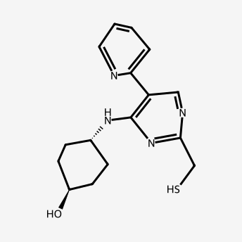 O[C@H]1CC[C@H](Nc2nc(CS)ncc2-c2ccccn2)CC1